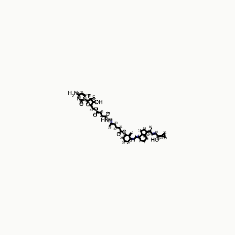 C=C1/C(=C\C=C2/CCC[C@@]3(C)C2CCC3[C@@H](C)/C=C/C(O)C2CC2)CCC[C@@H]1OC(=O)CCC/C(C)=N/NC(=O)CCC(=O)OCC1OC(n2ccc(N)nc2=O)C(F)(F)C1O